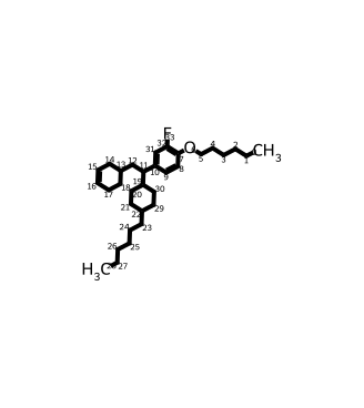 CCCCCCOc1ccc(C(CC2CC=CCC2)C2CCC(CCCCCC)CC2)cc1F